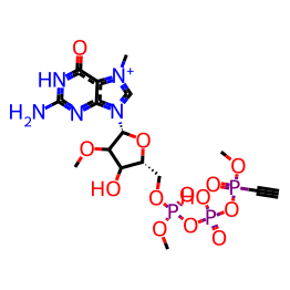 C#CP(=O)(OC)OP(=O)(O)OP(=O)(OC)OC[C@H]1O[C@@H](n2c[n+](C)c3c(=O)[nH]c(N)nc32)C(OC)C1O